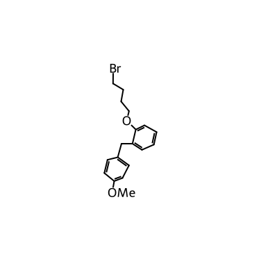 COc1ccc(Cc2ccccc2OCCCCBr)cc1